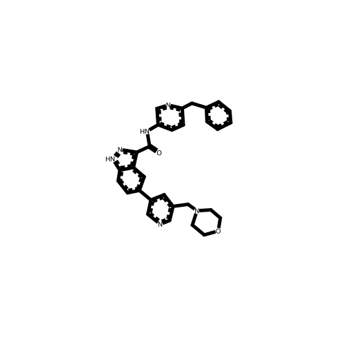 O=C(Nc1ccc(Cc2ccccc2)nc1)c1n[nH]c2ccc(-c3cncc(CN4CCOCC4)c3)cc12